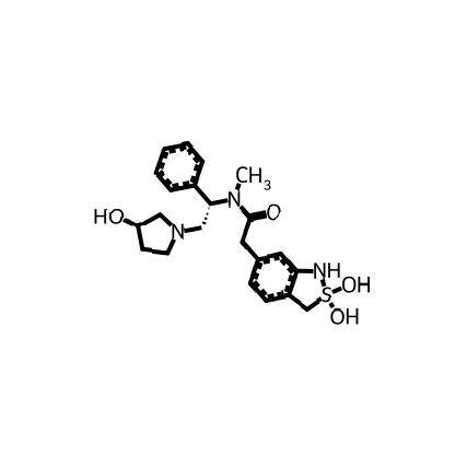 CN(C(=O)Cc1ccc2c(c1)NS(O)(O)C2)[C@H](CN1CCC(O)C1)c1ccccc1